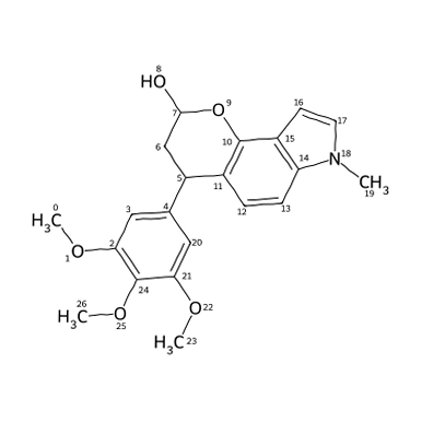 COc1cc(C2CC(O)Oc3c2ccc2c3ccn2C)cc(OC)c1OC